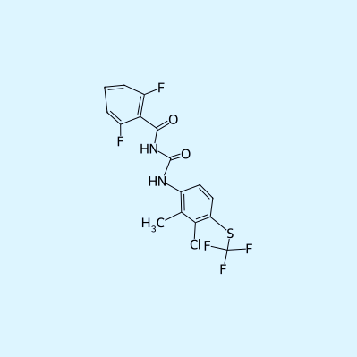 Cc1c(NC(=O)NC(=O)c2c(F)cccc2F)ccc(SC(F)(F)F)c1Cl